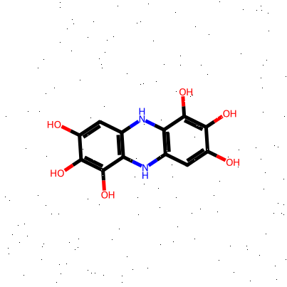 Oc1cc2c(c(O)c1O)Nc1cc(O)c(O)c(O)c1N2